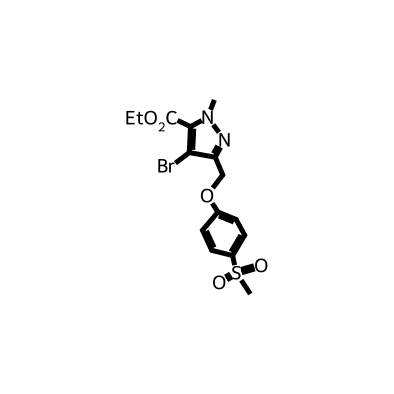 CCOC(=O)c1c(Br)c(COc2ccc(S(C)(=O)=O)cc2)nn1C